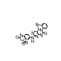 CC1c2cnc(Nc3ccc4c(c3)S(=O)(=O)CC(=O)N4C)nc2N(C)C(=O)N1c1ccccc1Br